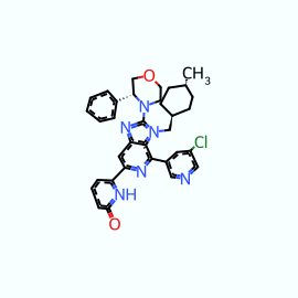 C[C@H]1CC[C@H](Cn2c(N3CCOC[C@H]3c3ccccc3)nc3cc(-c4cccc(=O)[nH]4)nc(-c4cncc(Cl)c4)c32)CC1